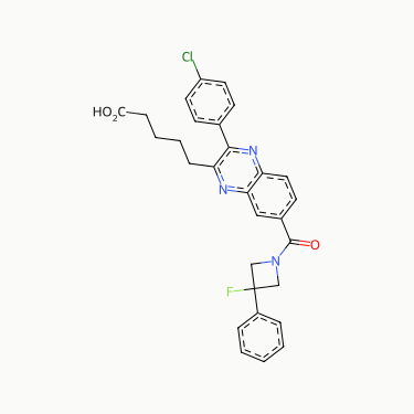 O=C(O)CCCCc1nc2cc(C(=O)N3CC(F)(c4ccccc4)C3)ccc2nc1-c1ccc(Cl)cc1